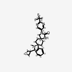 CN(CC1COC1)[C@]1(c2ccccc2)CC[C@@]2(CC1)CN(c1cnc(C(F)(F)F)nc1)C(=O)N2